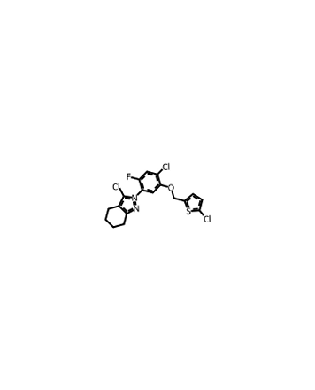 Fc1cc(Cl)c(OCc2ccc(Cl)s2)cc1-n1nc2c(c1Cl)CCCC2